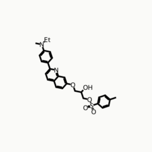 CCN(C)c1ccc(-c2ccc3ccc(OCC(O)COS(=O)(=O)c4ccc(C)cc4)cc3n2)cc1